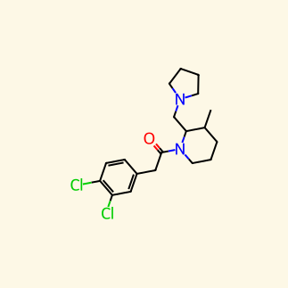 CC1CCCN(C(=O)Cc2ccc(Cl)c(Cl)c2)C1CN1CCCC1